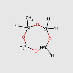 [2H][SiH]1O[SiH2]O[Si]([2H])(C)O[Si]([2H])([2H])O1